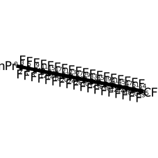 CCCC(F)(F)C(F)(F)C(F)(F)C(F)(F)C(F)(F)C(F)(F)C(F)(F)C(F)(F)C(F)(F)C(F)(F)C(F)(F)C(F)(F)C(F)(F)C(F)(F)C(F)(F)C(F)(F)C(F)(F)C(F)(F)C(F)(F)F